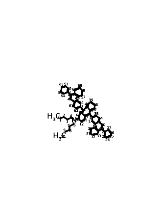 CCCCCN(CCCCC)c1ccc2c(-c3ccc(C=C(c4ccccc4)c4ccccc4)cc3)c3ccccc3c(-c3ccc(C=C(c4ccccc4)c4ccccc4)cc3)c2c1